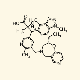 CC[C@@H]1CN(Cc2cc(C(c3ccc4c(nnn4C)c3C)C(C)(C)C(=O)O)cnc2C)Cc2cnccc2O1